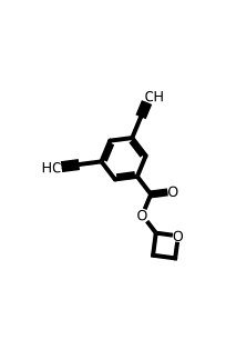 C#Cc1cc(C#C)cc(C(=O)OC2CCO2)c1